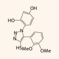 COc1cccc(-c2c(S)nnn2-c2ccc(O)cc2O)c1OC